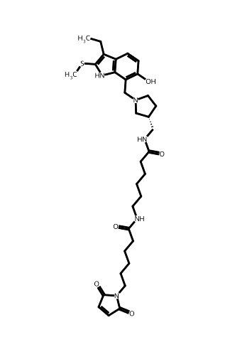 CCc1c(SC)[nH]c2c(CN3CC[C@H](CNC(=O)CCCCCNC(=O)CCCCCN4C(=O)C=CC4=O)C3)c(O)ccc12